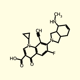 C#Cc1c(N2CC3CC=CC(NC)C3C2)c(F)cc2c(=O)c(C(=O)O)cn(C3CC3)c12